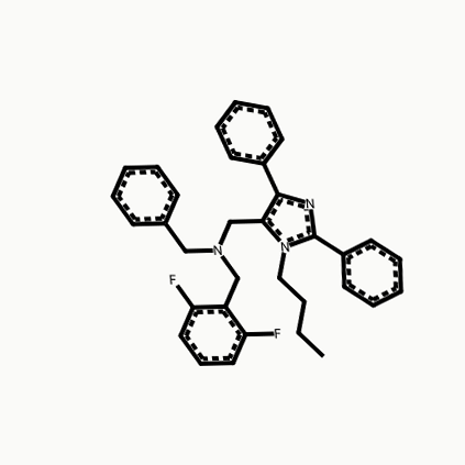 CCCCn1c(-c2ccccc2)nc(-c2ccccc2)c1CN(Cc1ccccc1)Cc1c(F)cccc1F